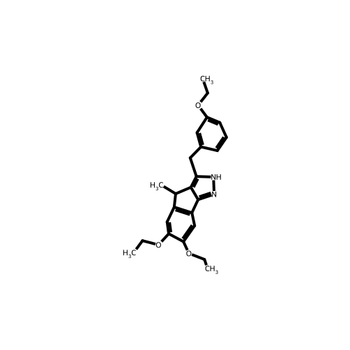 CCOc1cccc(Cc2[nH]nc3c2C(C)c2cc(OCC)c(OCC)cc2-3)c1